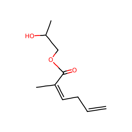 C=CCC=C(C)C(=O)OCC(C)O